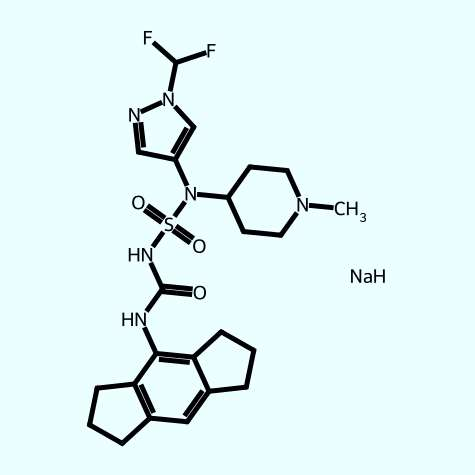 CN1CCC(N(c2cnn(C(F)F)c2)S(=O)(=O)NC(=O)Nc2c3c(cc4c2CCC4)CCC3)CC1.[NaH]